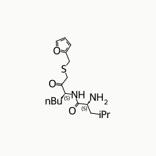 CCCC[C@H](NC(=O)[C@@H](N)CC(C)C)C(=O)CSCc1ccco1